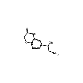 NCC(O)c1ccc2c(c1)NC(=O)CO2